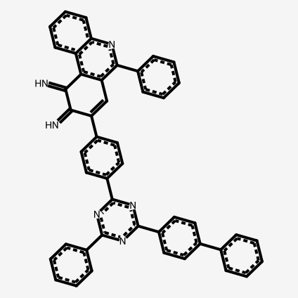 N=C1C(=N)c2c(c(-c3ccccc3)nc3ccccc23)C=C1c1ccc(-c2nc(-c3ccccc3)nc(-c3ccc(-c4ccccc4)cc3)n2)cc1